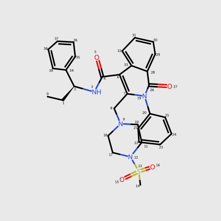 CC[C@H](NC(=O)c1c(CN2CCN(S(C)(=O)=O)CC2)n(-c2ccccc2)c(=O)c2ccccc12)c1ccccc1